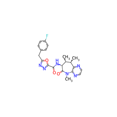 C[C@@H]1[C@H](NC(=O)c2nnc(Cc3ccc(F)cc3)o2)C(=O)N(C)c2nccnc2[C@@H]1C